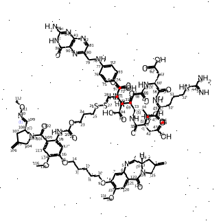 C=C1C[C@H]2C=Nc3cc(OCCCCCOc4cc(NC(=O)OCCCSSC[C@H](NC(=O)[C@H](CC(=O)O)NC(=O)[C@H](CC(=O)O)NC(=O)[C@H](CCCNC(=N)N)NC(=O)[C@H](CC(=O)O)NC(=O)CC[C@H](NC(=O)c5ccc(NCc6cnc7nc(N)[nH]c(=O)c7n6)cc5)C(=O)O)C(=O)O)c(C(=O)N5CC(=C)C[C@H]5/C=N/OC)cc4OC)c(OC)cc3C(=O)N2C1